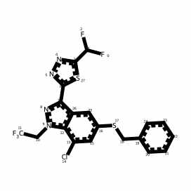 FC(F)c1nnc(-c2nn(CC(F)(F)F)c3c(Cl)cc(SCc4ccccc4)cc23)s1